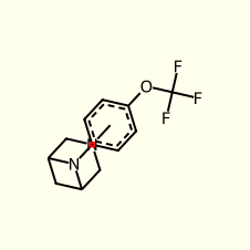 CN1CC2CC(C1)N2c1ccc(OC(F)(F)F)cc1